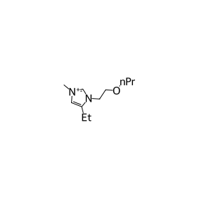 CCCOCCn1c[n+](C)cc1CC